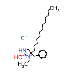 CCCCCCCCCCCCCC1(Cc2ccccc2)CNC(O)=[N+]1CC.[Cl-]